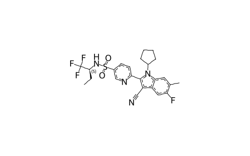 CC[C@H](NS(=O)(=O)c1ccc(-c2c(C#N)c3cc(F)c(C)cc3n2C2CCCC2)nc1)C(F)(F)F